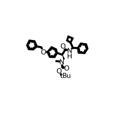 CN(C[C@H](C(=O)NC(c1ccccc1)C1CCC1)c1ccc(OCc2ccccc2)cc1)C(=O)OC(C)(C)C